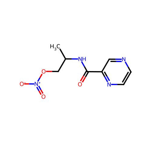 CC(CO[N+](=O)[O-])NC(=O)c1cnccn1